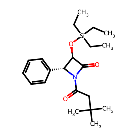 CC[Si](CC)(CC)O[C@H]1C(=O)N(C(=O)CC(C)(C)C)[C@@H]1c1ccccc1